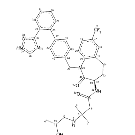 C[C@@H](O)CNC(C)(C)CC(=O)N[C@@H]1CCc2cc(C(F)(F)F)ccc2N(Cc2ccc(-c3ccccc3-c3nc[nH]n3)cc2)C1=O